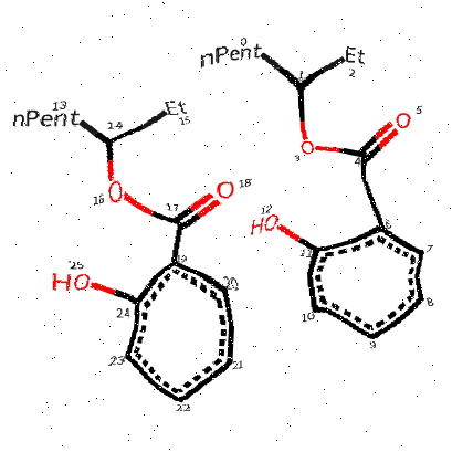 CCCCCC(CC)OC(=O)c1ccccc1O.CCCCCC(CC)OC(=O)c1ccccc1O